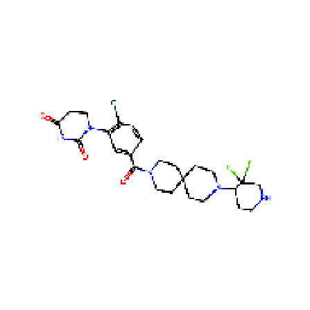 O=C1CCN(c2cc(C(=O)N3CCC4(CC3)CCN(C3CCNCC3(F)F)CC4)ccc2Cl)C(=O)N1